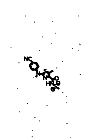 Cc1sc(N(C)c2ccc(C#N)cc2)nc1C(=O)NS(C)(=O)=O